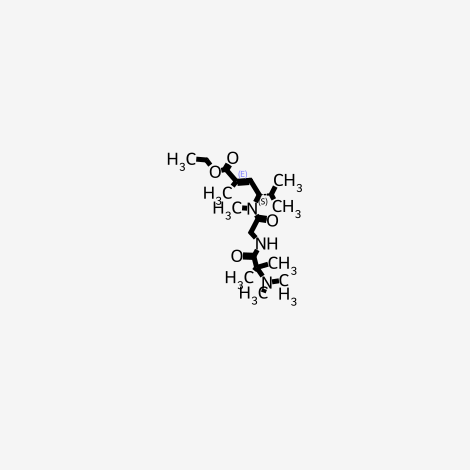 CCOC(=O)/C(C)=C/[C@H](C(C)C)N(C)C(=O)CNC(=O)C(C)(C)N(C)C